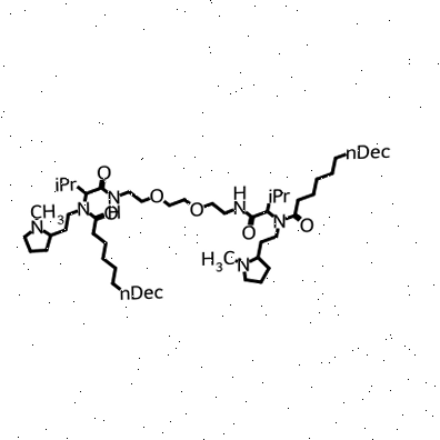 CCCCCCCCCCCCCCCC(=O)N(CCC1CCCN1C)C(C(=O)NCCOCCOCCNC(=O)C(C(C)C)N(CCC1CCCN1C)C(=O)CCCCCCCCCCCCCCC)C(C)C